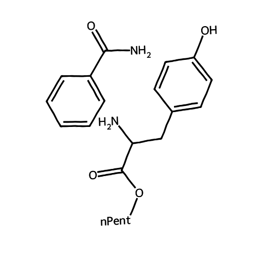 CCCCCOC(=O)C(N)Cc1ccc(O)cc1.NC(=O)c1ccccc1